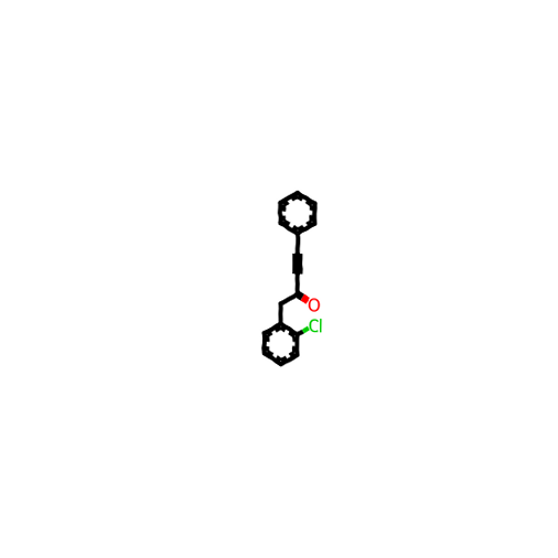 O=C(C#Cc1ccccc1)Cc1ccccc1Cl